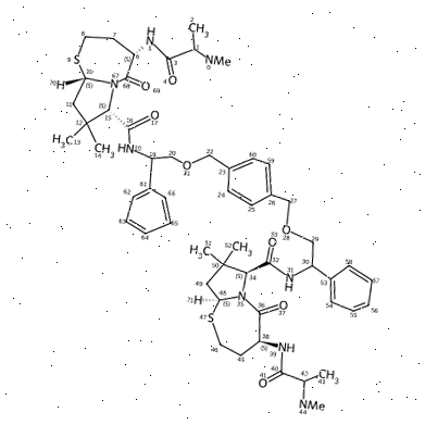 CNC(C)C(=O)N[C@H]1CCS[C@H]2CC(C)(C)[C@@H](C(=O)NC(COCc3ccc(COCC(NC(=O)[C@H]4N5C(=O)[C@@H](NC(=O)C(C)NC)CCS[C@H]5CC4(C)C)c4ccccc4)cc3)c3ccccc3)N2C1=O